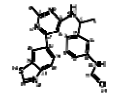 Cc1nc(NC(C)c2cccc(NC=O)c2)cc(-c2ccc3ncsc3c2)n1